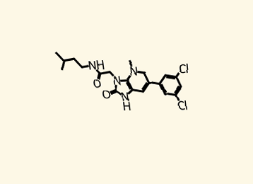 CC(C)CCNC(=O)Cn1c2c([nH]c1=O)C=C(c1cc(Cl)cc(Cl)c1)CN2C